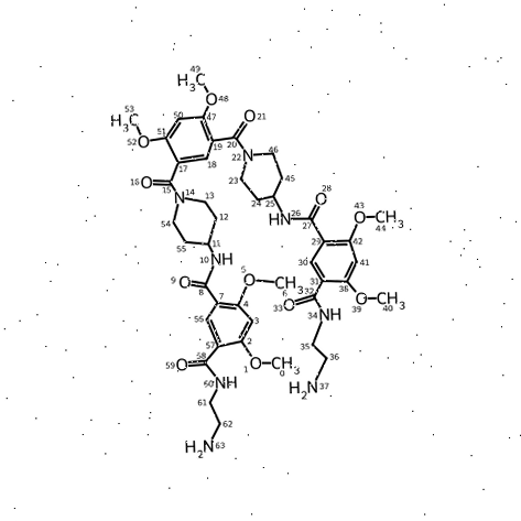 COc1cc(OC)c(C(=O)NC2CCN(C(=O)c3cc(C(=O)N4CCC(NC(=O)c5cc(C(=O)NCCN)c(OC)cc5OC)CC4)c(OC)cc3OC)CC2)cc1C(=O)NCCN